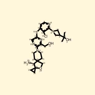 CC(C)(O)C1CN(c2nccc(Sc3cnc(N4CCC5(CC4)COC4(CC4)[C@H]5N)c(CO)n3)c2Cl)C1